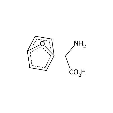 NCC(=O)O.c1cc2ccc1o2